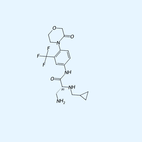 NC[C@@H](NCC1CC1)C(=O)Nc1ccc(N2CCOCC2=O)c(C(F)(F)F)c1